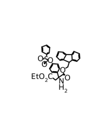 CCOC(=O)CC(N)(C(=O)OCC1c2ccccc2-c2ccccc21)c1ccc(OS(=O)(=O)c2ccccc2)cc1